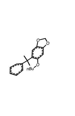 CCCCOc1cc2c(cc1C(C)(C)c1ccccc1)OCO2